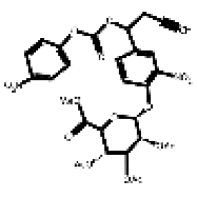 C#CCC(OC(=O)Oc1ccc([N+](=O)[O-])cc1)c1ccc(O[C@@H]2OC(C(=O)OC)[C@@H](OC(C)=O)C(OC(C)=O)[C@@H]2OC(C)=O)c([N+](=O)[O-])c1